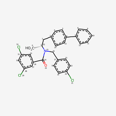 O=C(O)[C@H](Cc1ccc(-c2ccccc2)cc1)N(Cc1ccc(Cl)cc1)C(=O)c1cc(Cl)cc(Cl)c1